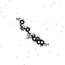 CCCC1(C(=O)NCCc2cccc(-c3nnc(Cc4cccc(C#N)c4)o3)c2)CC[C@]2(C)C(CCC3C4(C)CCC(O)C(C)(C)C4CCC32C)C1C